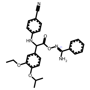 CCOc1cc(C(Nc2ccc(C#N)cc2)C(=O)O/N=C(\N)c2ccccc2)ccc1OC(C)C